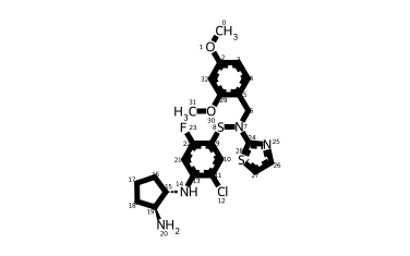 COc1ccc(CN(Sc2cc(Cl)c(N[C@H]3CCC[C@@H]3N)cc2F)c2nccs2)c(OC)c1